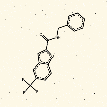 O=C(NCc1ccccc1)c1cc2cc(C(F)(F)F)ccc2o1